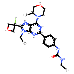 CCNC(=O)Nc1ccc(-c2nc(N3CCOCC3C)c3nc(C4(F)COC4)n(CC)c3n2)cc1